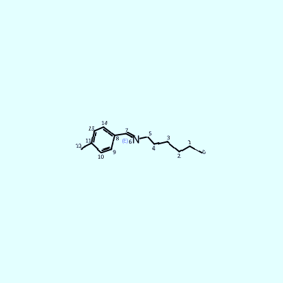 CCCCCC/N=C/c1ccc(C)cc1